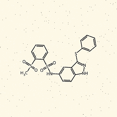 CS(=O)(=O)c1ccccc1S(=O)(=O)Nc1ccc2[nH]nc(Sc3ccccc3)c2c1